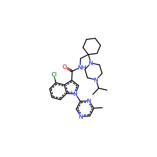 Cc1cncc(-n2cc(C(=O)NCC3(N4CCN(C(C)C)CC4)CCCCC3)c3c(Cl)cccc32)n1